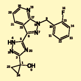 OC1(c2n[nH]c(-c3nn(Cc4ccccc4F)c4ncccc34)n2)CC1